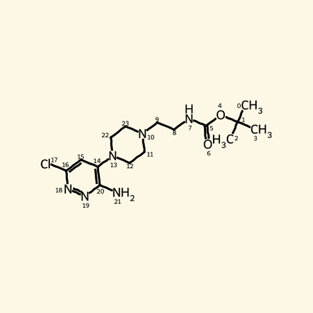 CC(C)(C)OC(=O)NCCN1CCN(c2cc(Cl)nnc2N)CC1